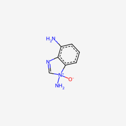 Nc1cccc2c1N=C[N+]2(N)[O-]